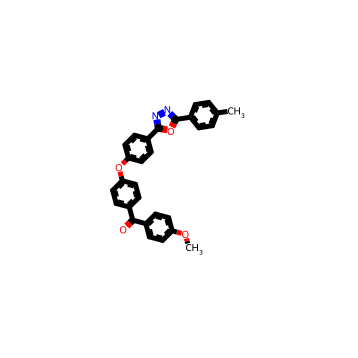 COc1ccc(C(=O)c2ccc(Oc3ccc(-c4nnc(-c5ccc(C)cc5)o4)cc3)cc2)cc1